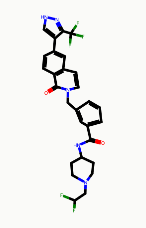 O=C(NC1CCN(CC(F)F)CC1)c1cccc(Cn2ccc3cc(-c4c[nH]nc4C(F)(F)F)ccc3c2=O)c1